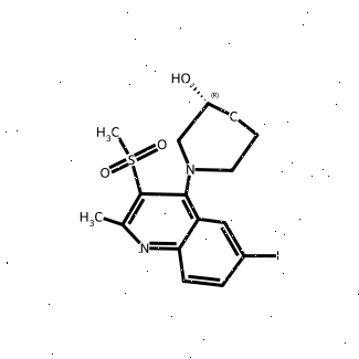 Cc1nc2ccc(I)cc2c(N2CCC[C@@H](O)C2)c1S(C)(=O)=O